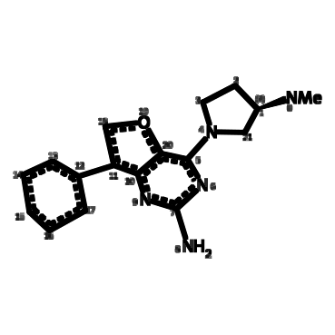 CN[C@@H]1CCN(c2nc(N)nc3c(-c4ccccc4)coc23)C1